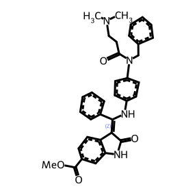 COC(=O)c1ccc2c(c1)NC(=O)/C2=C(\Nc1ccc(N(Cc2ccccc2)C(=O)CCN(C)C)cc1)c1ccccc1